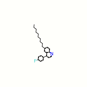 CCCCCCCCCCc1ccc2nccc(-c3ccc(F)cc3)c2c1